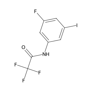 O=C(Nc1cc(F)cc(I)c1)C(F)(F)F